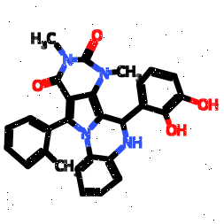 Cc1ccccc1-c1c2c(=O)n(C)c(=O)n(C)c2c2n1-c1ccccc1NC2c1cccc(O)c1O